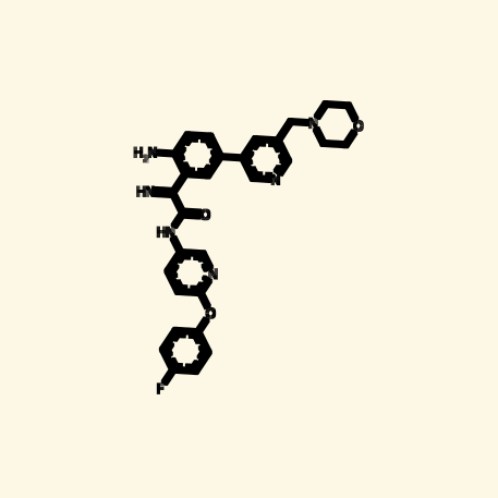 N=C(C(=O)Nc1ccc(Oc2ccc(F)cc2)nc1)c1cc(-c2cncc(CN3CCOCC3)c2)ccc1N